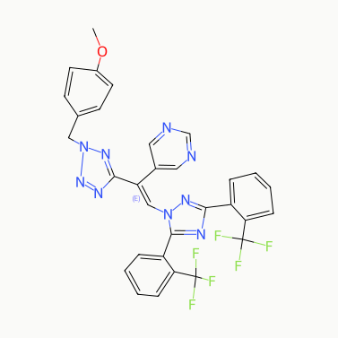 COc1ccc(Cn2nnc(/C(=C/n3nc(-c4ccccc4C(F)(F)F)nc3-c3ccccc3C(F)(F)F)c3cncnc3)n2)cc1